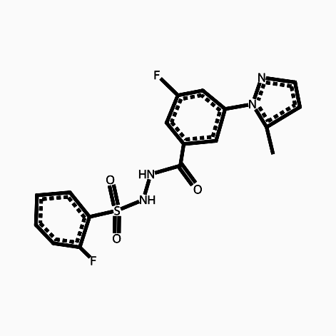 Cc1ccnn1-c1cc(F)cc(C(=O)NNS(=O)(=O)c2ccccc2F)c1